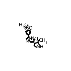 CCS(=O)(=O)c1ccc(-c2cnc3ccc(OC(C)C4CCCNC4)nn23)cc1